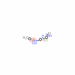 CCc1nc2cc(C(=O)Nc3ccc(CCNC(=O)NS(=O)(=O)c4ccc(C)cc4)cc3)c(Cl)cc2[nH]1